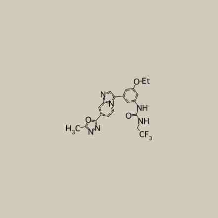 CCOc1cc(NC(=O)NCC(F)(F)F)cc(-c2cnc3cc(-c4nnc(C)o4)ccn23)c1